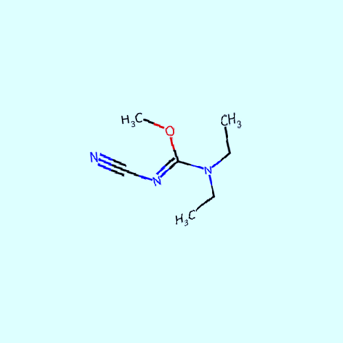 CCN(CC)C(=NC#N)OC